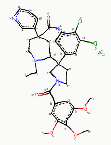 CCN1CCC(C(N)=O)(c2cccnc2)CC1C1(c2ccc(Cl)c(Cl)c2)CCN(C(=O)c2cc(OC)c(OC)c(OC)c2)C1.Cl